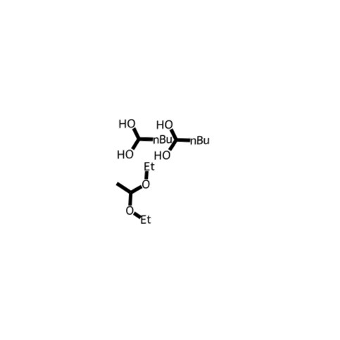 CCCCC(O)O.CCCCC(O)O.CCOC(C)OCC